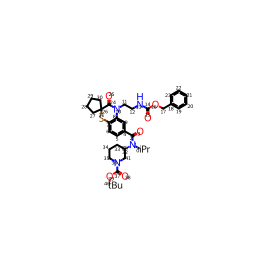 CC(C)N(C(=O)c1ccc2c(c1)N(CCNC(=O)OCc1ccccc1)C(=O)C1(CCCC1)S2)[C@@H]1CCCN(C(=O)OC(C)(C)C)C1